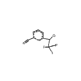 N#Cc1cccc(C([O])C(F)(F)F)c1